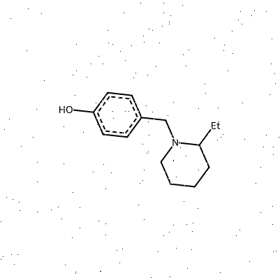 CCC1CCCCN1Cc1ccc(O)cc1